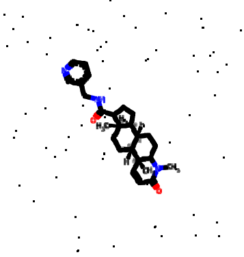 CN1C(=O)C=C[C@@]2(C)C1CC[C@@H]1[C@H]2CC[C@]2(C)C(C(=O)NCc3cccnc3)CC[C@@H]12